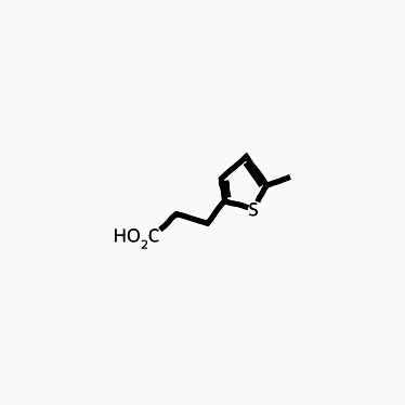 Cc1ccc(CCC(=O)O)s1